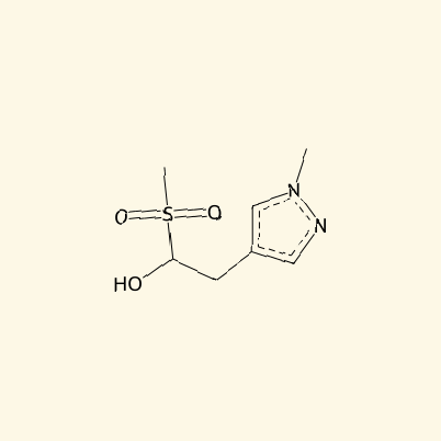 Cn1cc(CC(O)S(C)(=O)=O)cn1